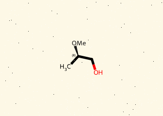 [CH2]O[C@H](C)CO